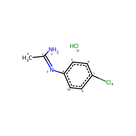 CC(N)=Nc1ccc(Cl)cc1.Cl